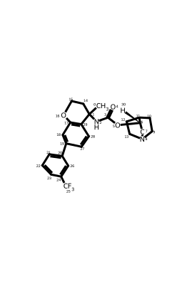 CC1(NC(=O)O[C@H]2CN3CCC2CC3)CCOc2cc(-c3cccc(C(F)(F)F)c3)ccc21